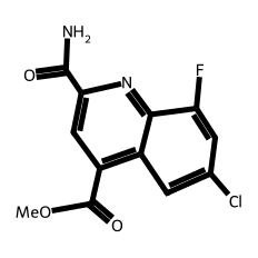 COC(=O)c1cc(C(N)=O)nc2c(F)cc(Cl)cc12